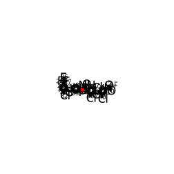 O=[N+]([O-])c1ccc(Oc2c(Cl)cc(S(=O)(=O)Nc3ccc(Oc4cc(C(F)(F)F)ccc4Cl)cc3F)cc2Cl)c(Cl)c1